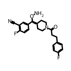 N#Cc1cc(C(ON)=C2CCN(C(=O)CCc3ccc(F)cc3)CC2)ccc1F